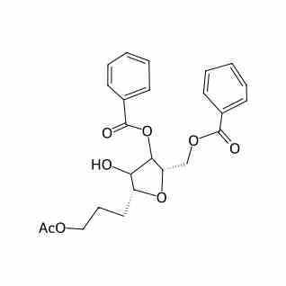 CC(=O)OCCC[C@H]1O[C@@H](COC(=O)c2ccccc2)C(OC(=O)c2ccccc2)C1O